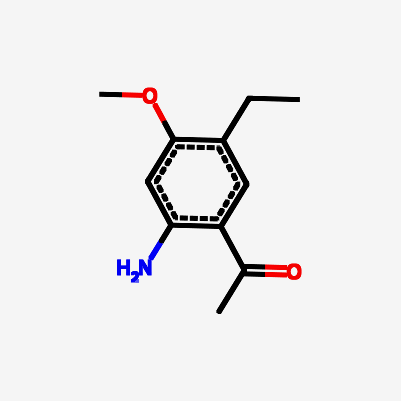 CCc1cc(C(C)=O)c(N)cc1OC